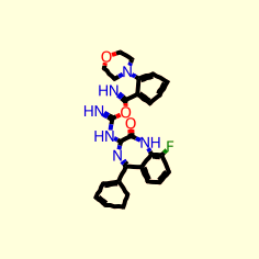 N=C(NC1N=C(C2=CC=CCC2)c2cccc(F)c2NC1=O)OC(=N)c1ccccc1N1CCOCC1